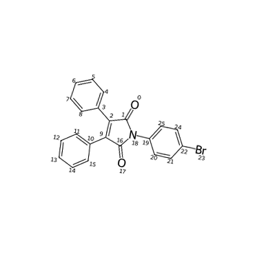 O=C1C(c2ccccc2)=C(c2ccccc2)C(=O)N1c1ccc(Br)cc1